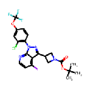 CC(C)(C)OC(=O)N1CC(c2nn(-c3ccc(OC(F)(F)F)cc3Cl)c3nccc(I)c23)C1